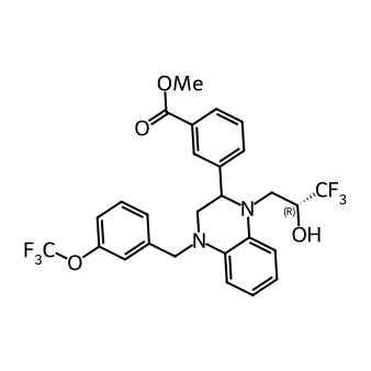 COC(=O)c1cccc(C2CN(Cc3cccc(OC(F)(F)F)c3)c3ccccc3N2C[C@@H](O)C(F)(F)F)c1